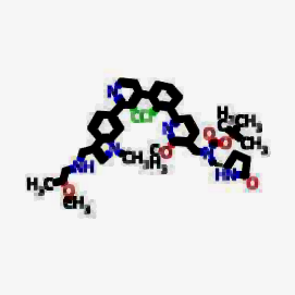 COc1nc(-c2cccc(-c3ccnc(-c4ccc5c(CNCC(C)OC)cn(C)c5c4)c3Cl)c2Cl)ccc1CN(C[C@@H]1CCC(=O)N1)C(=O)OC(C)(C)C